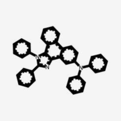 c1ccc(-c2nc3c4cc(N(c5ccccc5)c5ccccc5)ccc4c4ccccc4c3n2-c2ccccc2)cc1